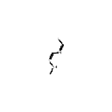 CN/N=C\N=C/I